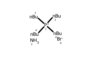 CCCC[P+](CCCC)(CCCC)CCCC.N.[Br-]